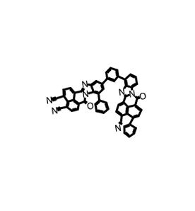 N#Cc1ccc2c3c1c(-c1ccccc1)ccc3c(=O)n1c3cccc(-c4cccc(-c5cc(-c6ccccc6)c6c(c5)nc5c7ccc(C#N)c8c(C#N)ccc(c(=O)n56)c87)c4)c3nc21